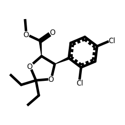 CCC1(CC)O[C@H](c2ccc(Cl)cc2Cl)[C@H](C(=O)OC)O1